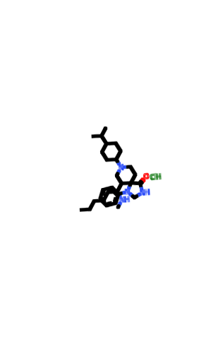 CCCCCC(NC)C1CN(C2CCC(C(C)C)CC2)CCC12C(=O)NCN2c1ccccc1.Cl